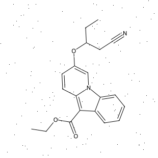 CCOC(=O)c1c2ccccc2n2cc(OC(CC)CC#N)ccc12